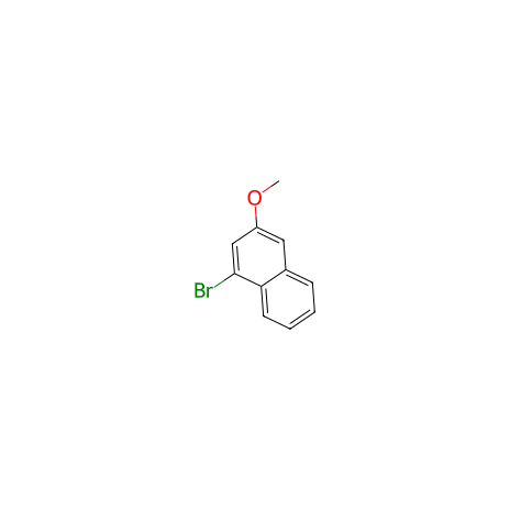 COc1cc(Br)c2ccccc2c1